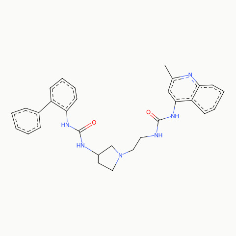 Cc1cc(NC(=O)NCCN2CCC(NC(=O)Nc3ccccc3-c3ccccc3)C2)c2ccccc2n1